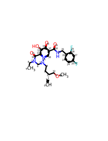 C#C[C@H](CCN1CN(CC)C(=O)c2c(O)c(=O)c(C(=O)NCc3ccc(F)cc3F)cn21)COC